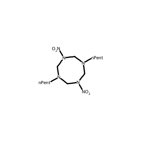 CCCCCN1CN([N+](=O)[O-])CN(CCCCC)CN([N+](=O)[O-])C1